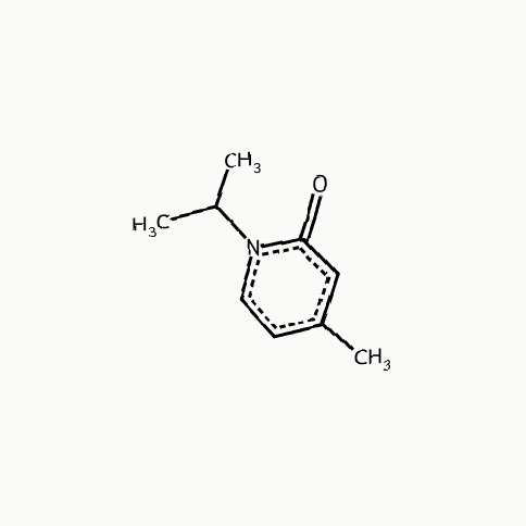 Cc1ccn(C(C)C)c(=O)c1